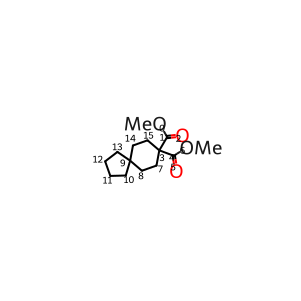 COC(=O)C1(C(=O)OC)CCC2(CCCC2)CC1